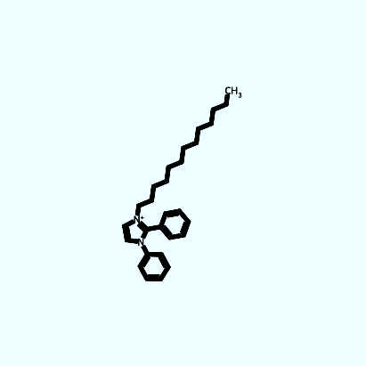 CCCCCCCCCCCCC[n+]1ccn(-c2ccccc2)c1-c1ccccc1